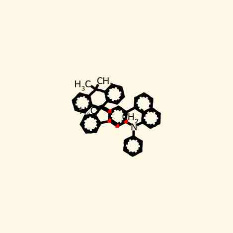 C=C(/C=C\C=C/C)N(c1ccccc1)c1cccc2cccc(-c3ccc4c(c3)C3(c5ccccc5-4)c4ccccc4C(C)(C)c4ccccc43)c12